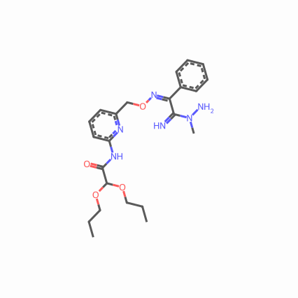 CCCOC(OCCC)C(=O)Nc1cccc(CO/N=C(\C(=N)N(C)N)c2ccccc2)n1